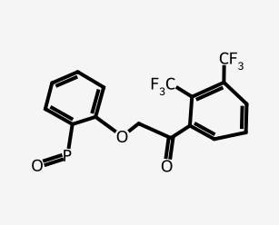 O=Pc1ccccc1OCC(=O)c1cccc(C(F)(F)F)c1C(F)(F)F